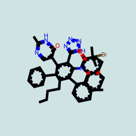 CCCCc1c(-c2ccccc2)c(-c2cnc(C)[nH]c2=O)c(-c2nnn[nH]2)c(N(C(=O)C(C)(C)Br)c2ccccc2)c1-c1cccc(C)c1-c1ccccc1